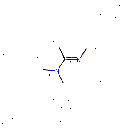 C/N=C(\C)N(C)C